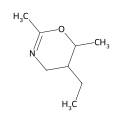 CCC1CN=C(C)OC1C